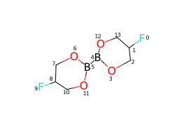 FC1COB(B2OCC(F)CO2)OC1